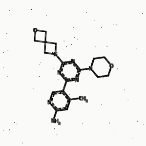 Cc1cc(N)ncc1-c1nc(N2CCOCC2)nc(N2CC3(COC3)C2)n1